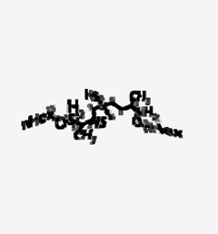 CCCCCCO[SiH2]C(C)CCS(S)(CCC(C)[SiH2]OCCCCCC)SS